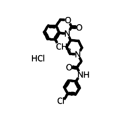 Cc1cccc2c1N(C1CCN(CC(=O)Nc3ccc(Cl)cc3)CC1)C(=O)OC2.Cl